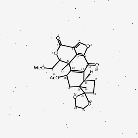 COCC1OC(=O)c2coc3c2C1(C)C1=C(C3=O)[C@@H]2CCC3(OCCO3)C2(C)CC1OC(C)=O